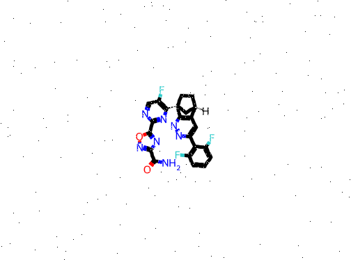 NC(=O)c1noc(-c2ncc(F)c([C@]34CC[C@H](C3)c3cc(-c5c(F)cccc5F)nnc34)n2)n1